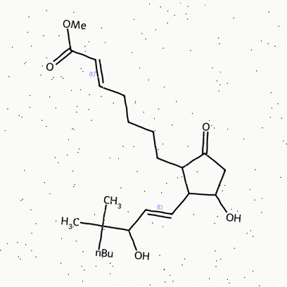 CCCCC(C)(C)C(O)/C=C/C1C(O)CC(=O)C1CCCC/C=C/C(=O)OC